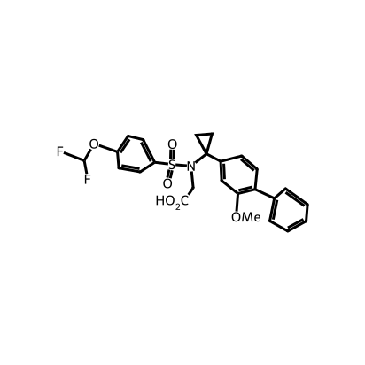 COc1cc(C2(N(CC(=O)O)S(=O)(=O)c3ccc(OC(F)F)cc3)CC2)ccc1-c1ccccc1